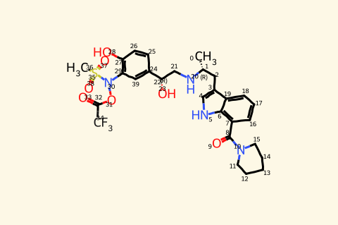 C[C@H](Cc1c[nH]c2c(C(=O)N3CCCCC3)cccc12)NC[C@H](O)c1ccc(O)c(N(OC(=O)C(F)(F)F)S(C)(=O)=O)c1